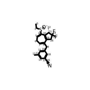 CC[S+]([O-])C1=CCC=C(Cc2cc(C)cc(C#N)c2)C2=C1[C@H](C)C(F)(F)C2